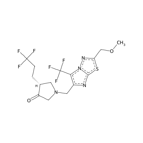 COCc1nn2c(C(F)(F)F)c(CN3CC(=O)[C@H](CCC(F)(F)F)C3)nc2s1